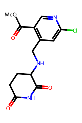 COC(=O)c1cnc(Cl)cc1CNC1CCC(=O)NC1=O